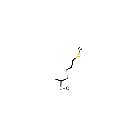 CC(=O)SCCCCC(C)C=O